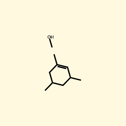 CC1=CC(C)CC(C)C1.CO